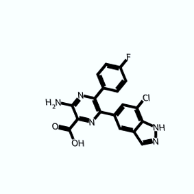 Nc1nc(-c2ccc(F)cc2)c(-c2cc(Cl)c3[nH]ncc3c2)nc1C(=O)O